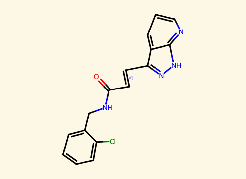 O=C(/C=C/c1n[nH]c2ncccc12)NCc1ccccc1Cl